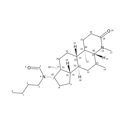 CCCCN(C=O)[C@H]1CC[C@H]2[C@@H]3CC(C)[C@H]4N(C)C(=O)CC[C@]4(C)[C@H]3CC[C@]12C